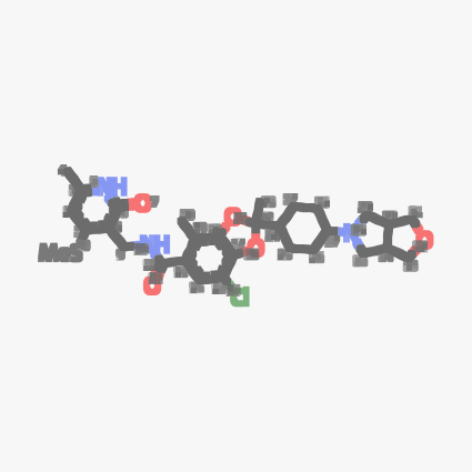 CSc1cc(C)[nH]c(=O)c1CNC(=O)c1cc(Cl)c2c(c1C)OC(C)(C1CCC(N3CC4COCC4C3)CC1)O2